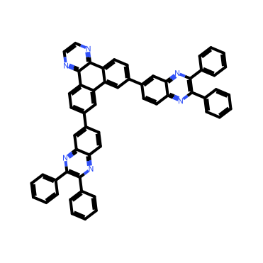 c1ccc(-c2nc3ccc(-c4ccc5c(c4)c4cc(-c6ccc7nc(-c8ccccc8)c(-c8ccccc8)nc7c6)ccc4c4nccnc54)cc3nc2-c2ccccc2)cc1